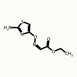 CCOC(=O)/C=N\Oc1csc(N)n1